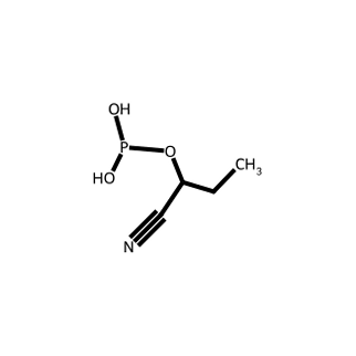 CCC(C#N)OP(O)O